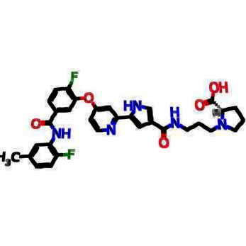 Cc1ccc(F)c(NC(=O)c2ccc(F)c(Oc3ccnc(-c4cc(C(=O)NCCCN5CCC[C@H]5C(=O)O)c[nH]4)c3)c2)c1